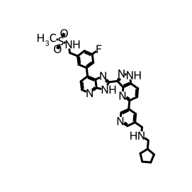 CS(=O)(=O)NCc1cc(F)cc(-c2ccnc3[nH]c(-c4n[nH]c5ccc(-c6cncc(CNCC7CCCC7)c6)nc45)nc23)c1